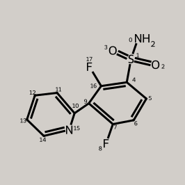 NS(=O)(=O)c1ccc(F)c(-c2ccccn2)c1F